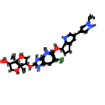 Cn1cc(-c2cnc3c(c2)CCC3Oc2nc3nc(O[C@@H]4CO[C@H]5[C@@H]4OC[C@H]5O)[nH]c3cc2Cl)cn1